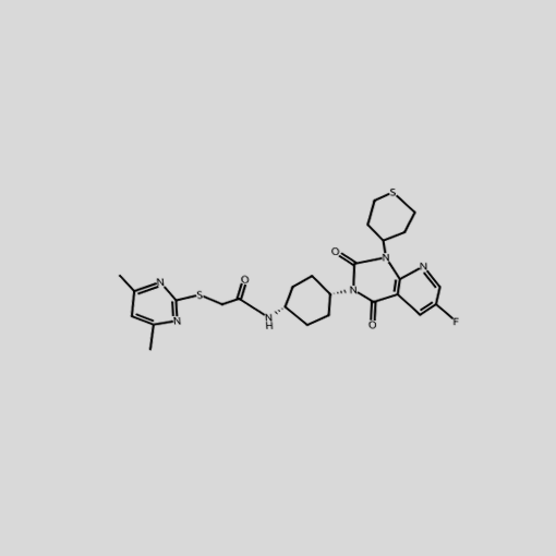 Cc1cc(C)nc(SCC(=O)N[C@H]2CC[C@@H](n3c(=O)c4cc(F)cnc4n(C4CCSCC4)c3=O)CC2)n1